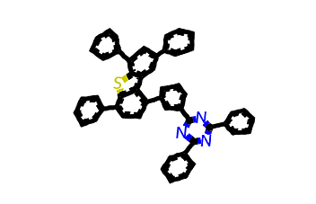 c1ccc(-c2cc(-c3ccccc3)c3sc4c(-c5ccccc5)ccc(-c5cccc(-c6nc(-c7ccccc7)nc(-c7ccccc7)n6)c5)c4c3c2)cc1